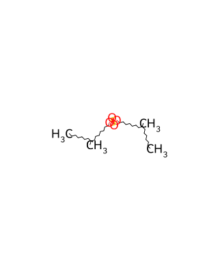 CCCCCCCC(C)CCCCCCCOS(=O)(=O)OCCCCCCCC(C)CCCCCCC